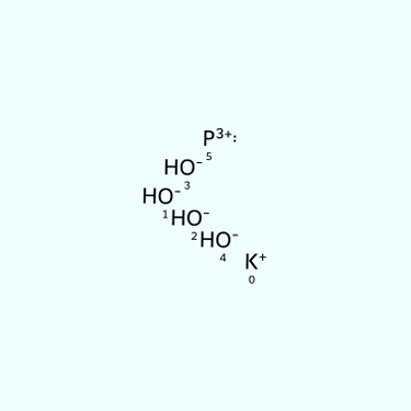 [K+].[OH-].[OH-].[OH-].[OH-].[P+3]